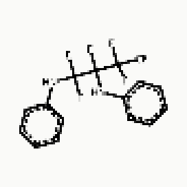 FC(F)(F)C(F)(F)C(F)(Nc1ccccc1)C(F)(F)Nc1ccccc1